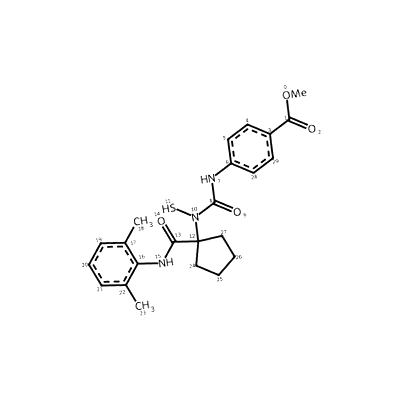 COC(=O)c1ccc(NC(=O)N(S)C2(C(=O)Nc3c(C)cccc3C)CCCC2)cc1